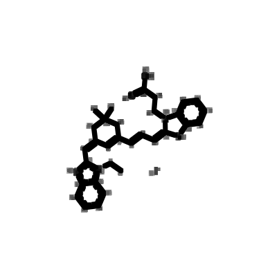 CC[n+]1c(C=C2C=C(C=CC=C3Sc4ccccc4N3CCC(=O)O)CC(C)(C)C2)sc2ccccc21.[I-]